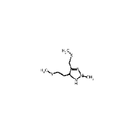 CSCCC1NN(C)N=C1CSC